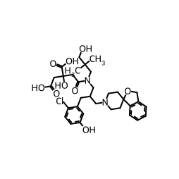 CC(C)(CO)CN(CC(Cc1cc(O)ccc1Cl)CN1CCC2(CC1)OCc1ccccc12)C(=O)CC(O)(CC(=O)O)C(=O)O